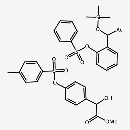 CC(=O)C(O[Si](C)(C)C)c1ccccc1OS(=O)(=O)c1ccccc1.COC(=O)C(O)c1ccc(OS(=O)(=O)c2ccc(C)cc2)cc1